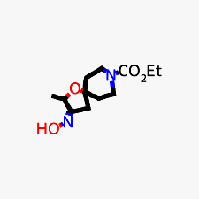 CCOC(=O)N1CCC2(CC1)CC(=NO)C(C)O2